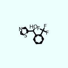 OC(c1cncs1)c1ccccc1C(F)(F)F